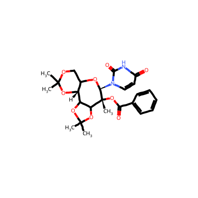 CC1(C)OC2C(O1)[C@@](C)(OC(=O)c1ccccc1)[C@H](n1ccc(=O)[nH]c1=O)OC1COC(C)(C)O[C@H]12